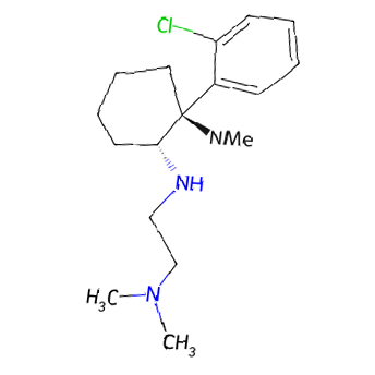 CN[C@]1(c2ccccc2Cl)CCCC[C@H]1NCCN(C)C